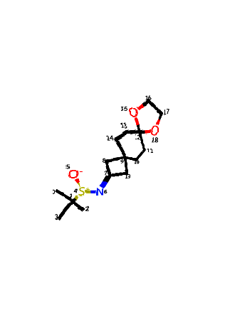 CC(C)(C)[S@@+]([O-])N=C1CC2(CCC3(CC2)OCCO3)C1